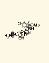 CO[C@H]1Cc2cc(Cl)ccc2[C@H]1Nc1cc(OC2CC(O)C(COS(N)(=O)=O)C2)ncn1